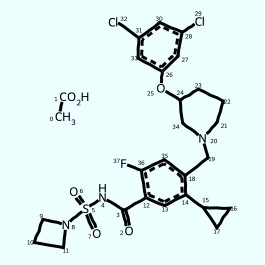 CC(=O)O.O=C(NS(=O)(=O)N1CCC1)c1cc(C2CC2)c(CN2CCCC(Oc3cc(Cl)cc(Cl)c3)C2)cc1F